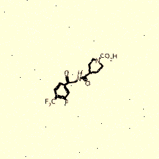 O=C(CNC(=O)C1CCN(C(=O)O)CC1)c1ccc(C(F)(F)F)c(F)c1